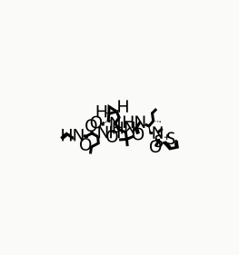 C=CCNC(=O)C(=O)C(CCC)NC(=O)[C@@H]1[C@H]2C[C@H]2CN1C(=O)[C@@H](NC(=O)N[C@H](CN(C)[S+]([O-])c1cccs1)[C@@H](C)CC)C(C)(C)C